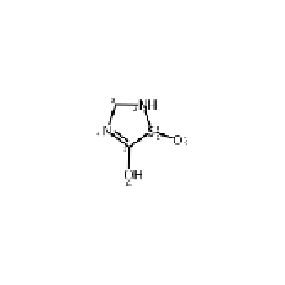 [O-][S+]1NCN=C1O